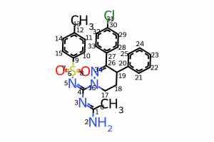 C/C(N)=N\C(=N\S(=O)(=O)c1ccc(C)cc1)N1CCC(c2ccccc2)C(c2ccc(Cl)cc2)=N1